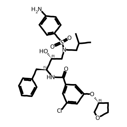 CC(C)CN(C[C@@H](O)[C@H](Cc1ccccc1)NC(=O)c1cc(Cl)cc(O[C@@H]2CCOC2)c1)S(=O)(=O)c1ccc(N)cc1